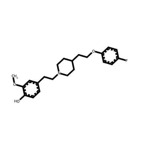 COc1cc(CCN2CCC(CCOc3ccc(F)cc3)CC2)ccc1O